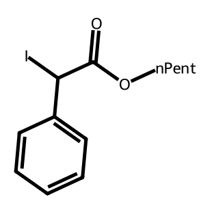 CCCCCOC(=O)C(I)c1ccccc1